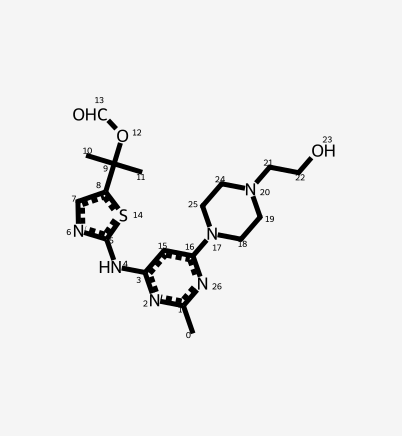 Cc1nc(Nc2ncc(C(C)(C)OC=O)s2)cc(N2CCN(CCO)CC2)n1